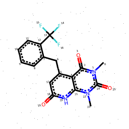 Cn1c(=O)c2c(Cc3ccccc3C(F)(F)F)cc(=O)[nH]c2n(C)c1=O